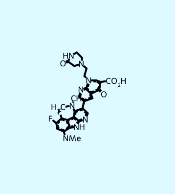 CNc1cc(F)c(F)c2c1[nH]c1ncc(-c3cnc4c(c3)c(=O)c(C(=O)O)cn4CCN3CCNC(=O)C3)c(N(C)C)c12